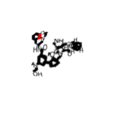 COc1c(CN2O[C@@H](CN)[C@@H]([C@H](C)O)C2C(=O)N[C@H]2C[C@H]3C[C@@H]([C@@H]2C)C3(C)C)cccc1-c1cc(C(=O)N[C@@H](Cc2ccccc2)CN2CCOCC2)cc(N(C)CCO)c1